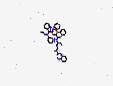 C=C/C=C(/c1cccc(N(/C(=C/C=C(\C)C(=C)/C=c2/cccc/c2=C/C)CC)c2cc3ccccc3c3ccccc23)c1)c1c(C)n(-c2ccccc2)c2ccccc12